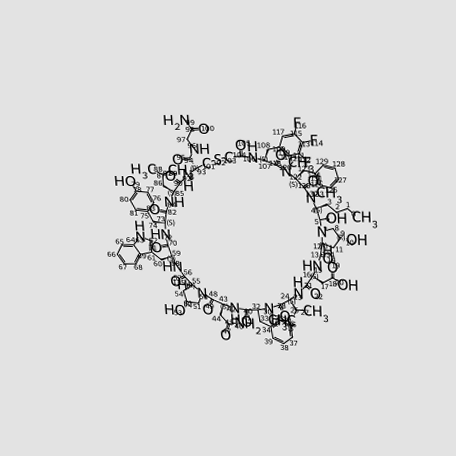 CCCC[C@H]1C(O)N2C[C@H](O)C[C@@H]2C(=O)N[C@@H](CC(=O)O)C(=O)N[C@@H](C(C)C)C(=O)N(C)C(Cc2ccccc2)C(=O)N[C@@H](CC(N)=O)C(=O)N2C[C@H](O)C[C@@H]2C(=O)N[C@@H](Cc2c[nH]c3ccccc23)C(=O)N[C@@H](Cc2ccc(O)cc2)C(=O)N[C@@H](CC(C)C)C(=O)N[C@H](C(=O)NCC(N)=O)CSCC(=O)N[C@@H](Cc2cc(F)c(F)c(F)c2)C(=O)N(C)[C@@H](Cc2ccccc2)C(=O)N1C